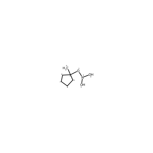 CC1(ON(O)O)CCCC1